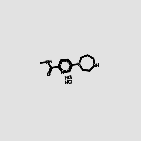 CNC(=O)c1ccc(N2CCCNCC2)cn1.Cl.Cl